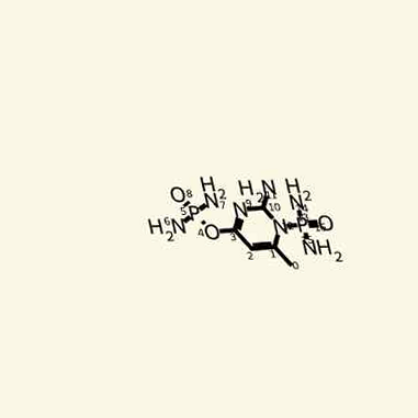 CC1=CC(OP(N)(N)=O)=NC(N)N1P(N)(N)=O